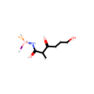 CC(C(=O)CCCO)C(=O)NB(P)I